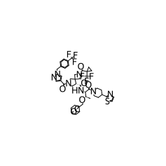 C[C@@H](OCC12CCC(CC1)OC2)[C@H](NC(=O)[C@@H]1CN(C(=O)c2cnn(Cc3ccc(C(F)(F)F)cc3)c2)CC12CN(C(=O)C1(C(F)(F)F)CC1)C2)C(=O)N1CCC(c2nccs2)CC1